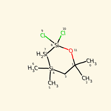 CC1(C)C[Si](C)(C)[SiH2][Si](Cl)(Cl)O1